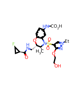 CCn1cc(S(=O)(=O)N2c3cc(NC(=O)O)ccc3O[C@@H](CNC(=O)[C@H]3C[C@H]3F)[C@H]2C)c(OCCO)n1